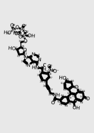 CC(Nc1ncnc2c1ncn2[C@H]1C[C@@H](O)[C@@H](COP(=O)(O)OP(=O)(O)OP(=O)(O)O)O1)c1ccc(C#CCNC(=O)c2ccc(C(=O)O)c(-c3c4ccc(=O)cc-4oc4cc(O)ccc34)c2)cc1[N+](=O)[O-]